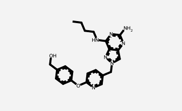 CCCCNc1nc(N)nc2cn(Cc3ccc(Oc4ccc(CO)cc4)nc3)nc12